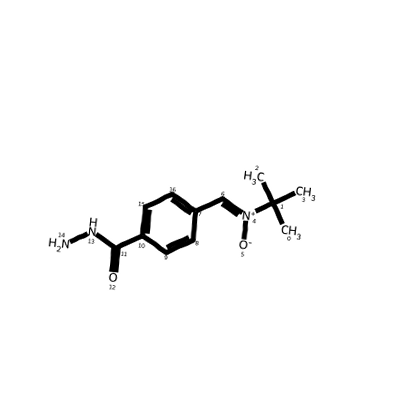 CC(C)(C)[N+]([O-])=Cc1ccc(C(=O)NN)cc1